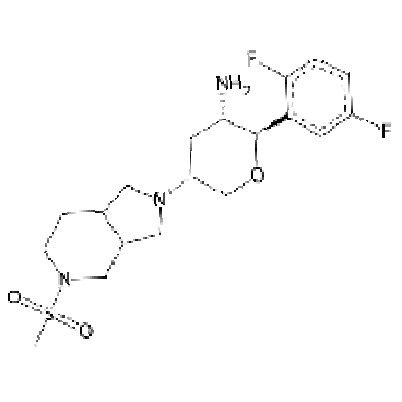 CS(=O)(=O)N1CCC2CN([C@H]3CO[C@H](c4cc(F)ccc4F)[C@@H](N)C3)CC2C1